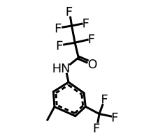 Cc1cc(NC(=O)C(F)(F)C(F)(F)F)cc(C(F)(F)F)c1